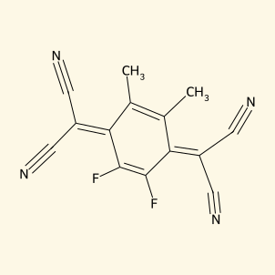 Cc1c(C)c(=C(C#N)C#N)c(F)c(F)c1=C(C#N)C#N